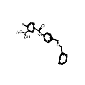 O=C(Nc1ccc(COCc2ccccc2)cc1)c1ccc(F)c(B(O)O)c1